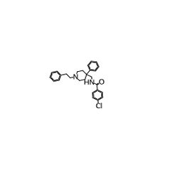 O=C(NCC1(c2ccccc2)CCN(CCc2ccccc2)CC1)c1ccc(Cl)cc1